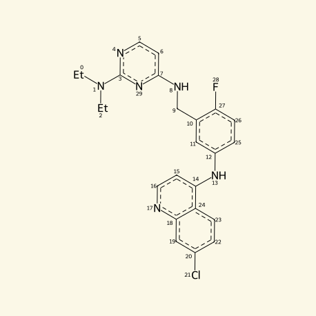 CCN(CC)c1nccc(NCc2cc(Nc3ccnc4cc(Cl)ccc34)ccc2F)n1